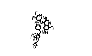 N#Cc1cnc2c(Cl)cc(N[C@H](C3=CN(CC4(F)COC4)NN3)c3ccc(F)cc3)cc2c1Nc1cnc(F)c(F)c1